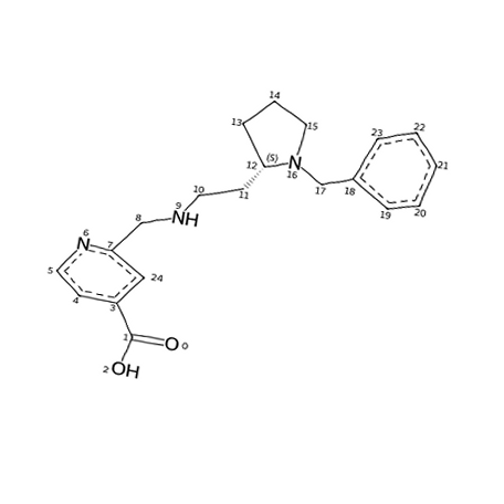 O=C(O)c1ccnc(CNCC[C@@H]2CCCN2Cc2ccccc2)c1